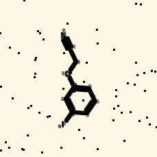 N#CCOc1c[c]cc(F)c1